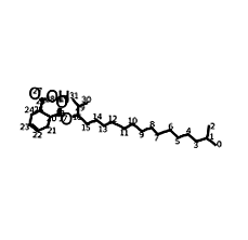 CC(C)CCCCCCCCCCCCCC(OC(=O)C1CC=CCC1C(=O)O)C(C)C